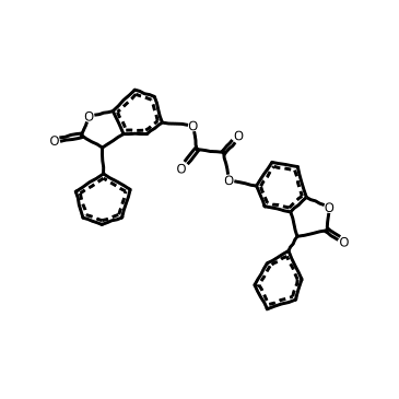 O=C(Oc1ccc2c(c1)C(c1ccccc1)C(=O)O2)C(=O)Oc1ccc2c(c1)C(c1ccccc1)C(=O)O2